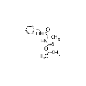 CC(C)OC(=O)N[C@@H](C)C(=O)NCc1ccccc1